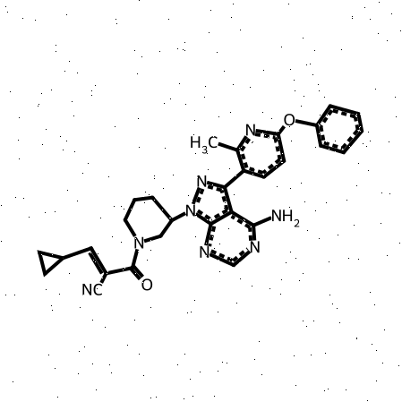 Cc1nc(Oc2ccccc2)ccc1-c1nn(C2CCCN(C(=O)C(C#N)=CC3CC3)C2)c2ncnc(N)c12